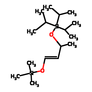 CC(C=CO[Si](C)(C)C)O[Si](C(C)C)(C(C)C)C(C)C